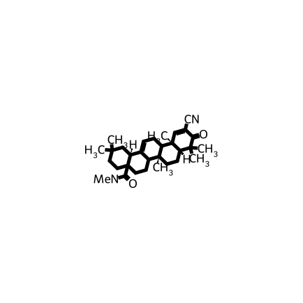 CNC(=O)C12CCC3C(=CCC4[C@@]3(C)CC[C@H]3C(C)(C)C(=O)C(C#N)=C[C@]43C)[C@@H]1CC(C)(C)CC2